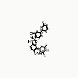 COc1ccc(NS(=O)(=O)c2ccc(-c3cccc(C)n3)cc2Cl)cc1N1CC(C)NC(C)C1